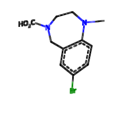 CN1CCN(C(=O)O)Cc2cc(Br)ccc21